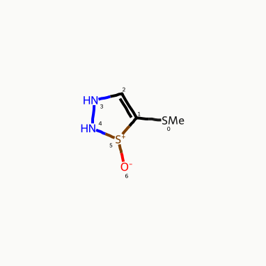 CSC1=CNN[S+]1[O-]